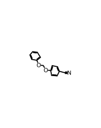 N#Cc1ccc(OCOc2ccccc2)cc1